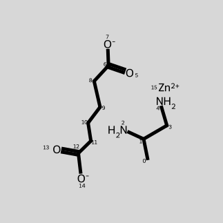 CC(N)CN.O=C([O-])CCCCC(=O)[O-].[Zn+2]